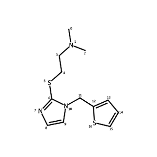 CN(C)CCSc1nccn1Cc1cccs1